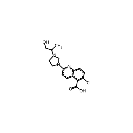 CC(CO)[C@@H]1CCN(c2ccc3c(C(=O)O)c(Cl)ccc3n2)C1